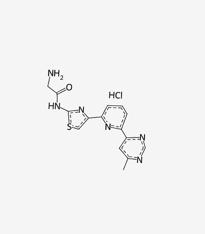 Cc1cc(-c2cccc(-c3csc(NC(=O)CN)n3)n2)ncn1.Cl